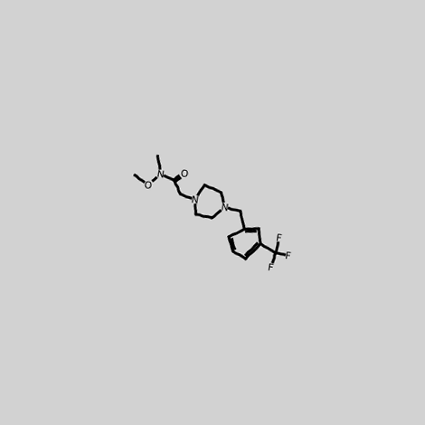 CON(C)C(=O)CN1CCN(Cc2cccc(C(F)(F)F)c2)CC1